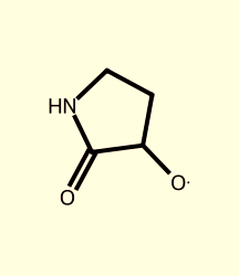 [O]C1CCNC1=O